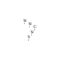 [C].[Si].[Si].[Si].[Ti]